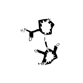 NC(=O)c1cnccn1.O=c1cc[nH]c(=O)n1F